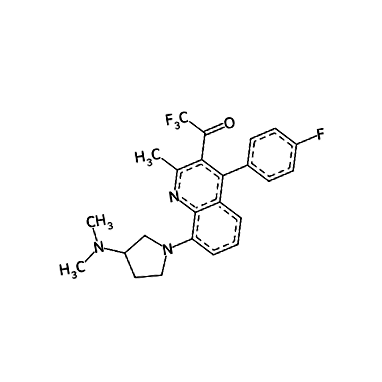 Cc1nc2c(N3CCC(N(C)C)C3)cccc2c(-c2ccc(F)cc2)c1C(=O)C(F)(F)F